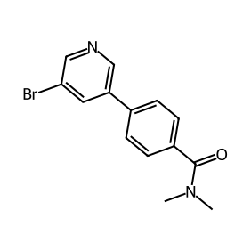 CN(C)C(=O)c1ccc(-c2cncc(Br)c2)cc1